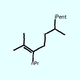 CCCC(C[CH]C(C)C(C)CCC)=C(C)C